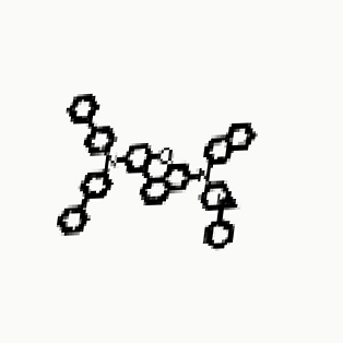 C1=CC(C23CCC(N(c4ccc5ccccc5c4)c4cc5c6c(cccc6c4)C4=C(CCC(N(c6ccc(-c7ccccc7)cc6)c6ccc(-c7ccccc7)cc6)=C4)O5)=C[C@@H]2C3)=CCC1